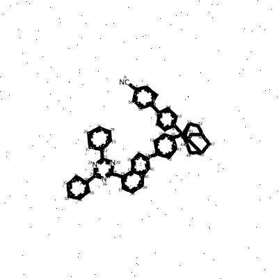 N#Cc1ccc(-c2ccc(C3(c4ccc(-c5ccc6c(-c7nc(-c8ccccc8)nc(-c8ccccc8)n7)cccc6c5)cc4)C4CC5CC(C4)CC3C5)cc2)cc1